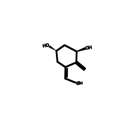 C=C1/C(=C\C(C)(C)C)C[C@H](O)C[C@H]1O